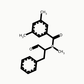 Cc1cc(C)cc(C(=O)N(C)C(C=O)Cc2ccccc2)c1